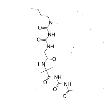 CCCCN(C)C(=O)NC(=O)NCC(=O)NC(C)(C)C(=O)NC(=O)NC(C)=O